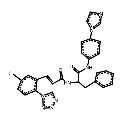 O=C(C=Cc1cc(Cl)ccc1-n1cnnn1)NC(Cc1ccccc1)C(=O)Nc1ccc(-n2ccnc2)cc1